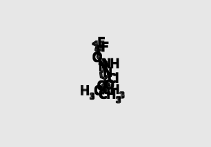 CC(C)(C)OC(=O)c1ccc(N2C=C(OCCC3(C(F)(F)F)CC3)CN2)nc1Cl